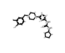 Cc1cc(CN2CCN(c3nnc(NC(=O)NC4CCCC4)s3)CC2)ccc1F